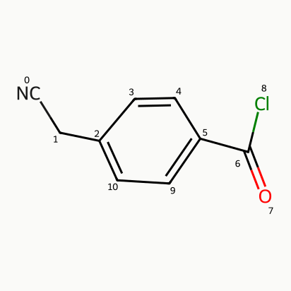 N#CCc1ccc(C(=O)Cl)cc1